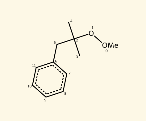 COOC(C)(C)Cc1ccccc1